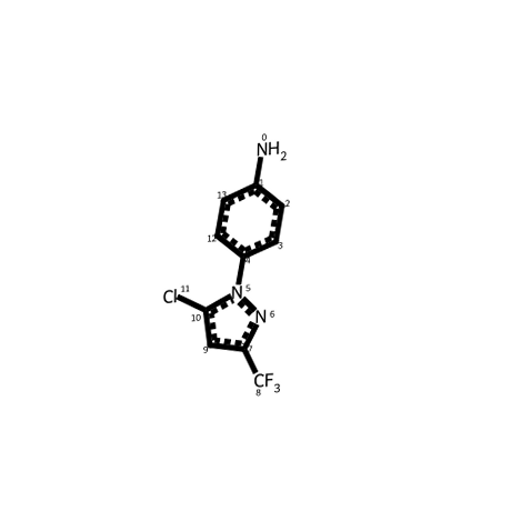 Nc1ccc(-n2nc(C(F)(F)F)cc2Cl)cc1